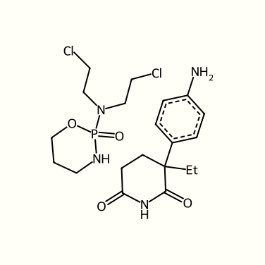 CCC1(c2ccc(N)cc2)CCC(=O)NC1=O.O=P1(N(CCCl)CCCl)NCCCO1